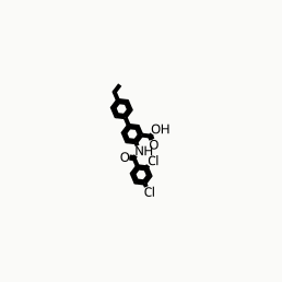 CCc1ccc(-c2ccc(NC(=O)c3ccc(Cl)cc3Cl)c(C(=O)O)c2)cc1